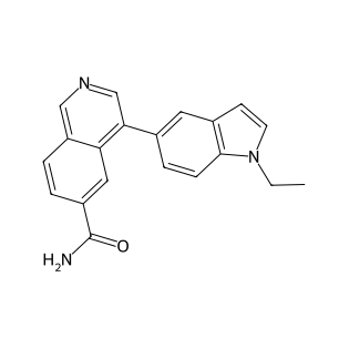 CCn1ccc2cc(-c3cncc4ccc(C(N)=O)cc34)ccc21